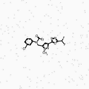 CCC(=O)N(Cc1cc(-c2nnc(C(F)F)o2)nn1C)c1cccc(Cl)c1